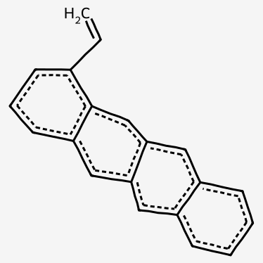 C=Cc1cccc2cc3cc4ccccc4cc3cc12